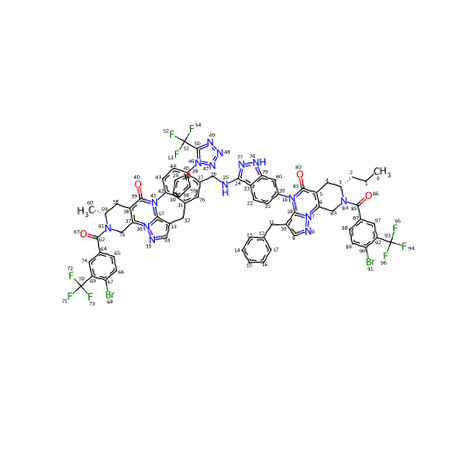 CCC[C@H]1Cc2c(n3ncc(Cc4ccccc4)c3n(-c3ccc4c(NCc5cccc(Cc6cnn7c8c(c(=O)n(-c9ccc(-n%10nnnc%10C(F)(F)F)cc9)c67)C[C@@H](C)N(C(=O)c6ccc(Br)c(C(F)(F)F)c6)C8)c5)n[nH]c4c3)c2=O)CN1C(=O)c1ccc(Br)c(C(F)(F)F)c1